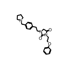 O=C1CN(CCc2ccc(CN3CCCC3)cc2)C(=O)N1CCOc1ccccc1